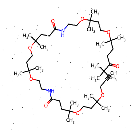 C#CCOC(C)(C)CCOC(C)(C)CCC(=O)NCCOC(C)(C)CCOC(C)(C)CCC(=O)NCCOC(C)(C)CCOC(C)(C)CCC(=O)C(C)(C)C